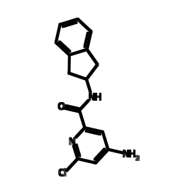 Nc1cc(Cl)nc(C(=O)NC2Cc3ccccc3C2)c1